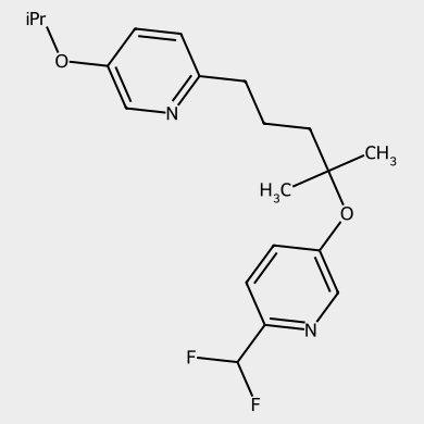 CC(C)Oc1ccc(CCCC(C)(C)Oc2ccc(C(F)F)nc2)nc1